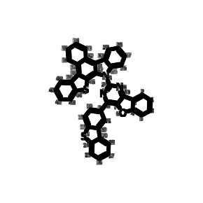 c1ccc2c(c1)oc1c(-c3ccc4sc5ccccc5c4c3)nc(-n3c4ccccc4c4c5ccccc5c5c6ccccc6sc5c43)nc12